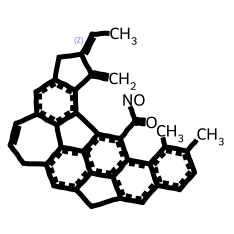 C=C1/C(=C\C)Cc2cc3c4c(c21)-c1c(C(=O)N=O)c2c5c(C)c(C)ccc5cc5c2c2c(cc(c-4c12)CC=C3)C5